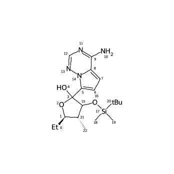 CC[C@H]1OC(O)(c2ccc3c(N)ncnn23)C(O[Si](C)(C)C(C)(C)C)[C@@H]1C